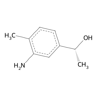 Cc1ccc([C@@H](C)O)cc1N